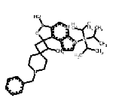 CC1C2(CCN(Cc3ccccc3)CC2)CC12OB(O)c1cnc3c(ccn3[Si](C(C)C)(C(C)C)C(C)C)c12